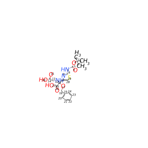 CC(C)(C)OC(=O)Nc1nc(C(NCC(=O)O)(OCc2ccccc2)C(=O)O)cs1